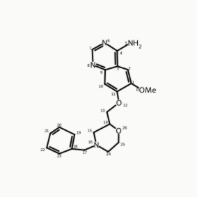 COc1cc2c(N)ncnc2cc1OCC1CN(Cc2ccccc2)CCO1